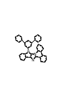 c1ccc(-c2cc(-c3ccccc3)cc(-n3c4ccccc4c4nc5c6ccccc6c6ccccc6n5c43)c2)cc1